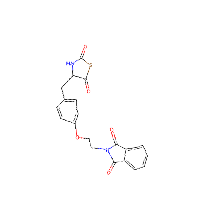 O=C1NC(Cc2ccc(OCCN3C(=O)c4ccccc4C3=O)cc2)C(=O)S1